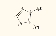 CCc1ccsc1Cl